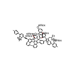 CCCCCCCCC(CCCCCC)Cn1c2cc(C#Cc3ccc(-c4ccc(C)cc4)c4nsnc34)c3cccc4c5cccc6c7c(c1c(c65)c2c34)C(c1ccc(CCCCCC)cc1)(c1ccc(CCCCCC)cc1)c1cc(-c2c(-c3ccc(-c4ccc(OCCCCCC)cc4C)cc3)c(CC(CC)CCCC)c3cc(-c4ccc(C)cc4OCCCCCC)ccn23)ccc1-7